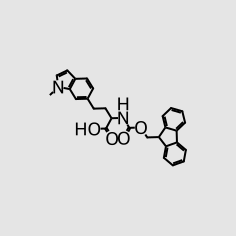 Cn1ccc2ccc(CCC(NC(=O)OCC3c4ccccc4-c4ccccc43)C(=O)O)cc21